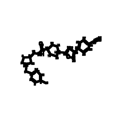 Cc1ccc(CN2CCC(CNC(=O)C3CCN(c4nc(-c5ccc(C#N)cc5)no4)CC3)C2)nc1